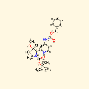 COC(C)(C)[C@@H](c1cc(NC(=O)OCc2ccccc2)ccn1)N(C)C(=O)OC(C)(C)C